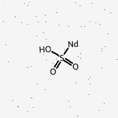 O=[S](=O)(O)[Nd]